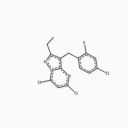 CCc1nn2c(Cl)cc(Cl)nc2c1Cc1ccc(Cl)cc1F